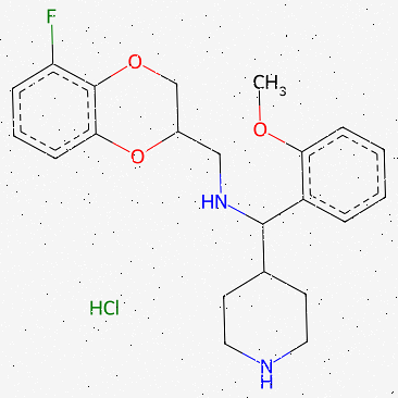 COc1ccccc1C(NCC1COc2c(F)cccc2O1)C1CCNCC1.Cl